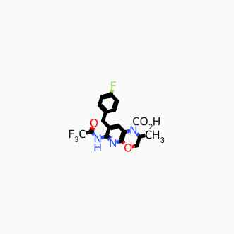 CC1COc2nc(NC(=O)C(F)(F)F)c(Cc3ccc(F)cc3)cc2N1C(=O)O